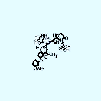 COc1cccc(Oc2cccc3c(CN(C)C(=O)/C=C/c4cnc5c(c4)NCCC(=O)N5COP(=O)(O)O)c(C)oc23)c1.NCCO.NCCO